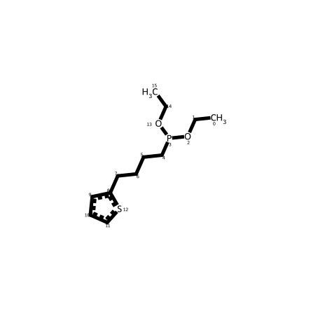 CCOP(CCCCc1cccs1)OCC